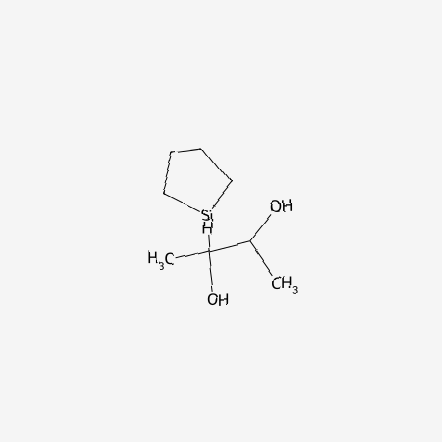 CC(O)C(C)(O)[SiH]1CCCC1